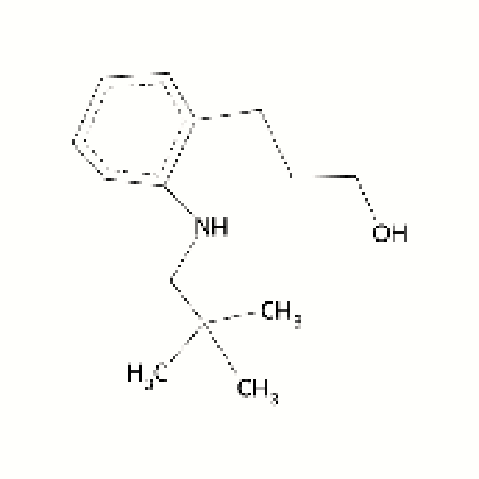 CC(C)(C)CNc1ccccc1CCCO